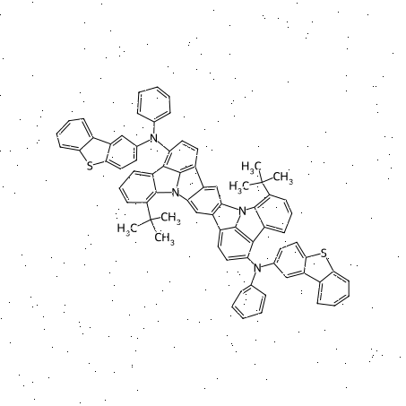 CC(C)(C)c1cccc2c3c(N(c4ccccc4)c4ccc5sc6ccccc6c5c4)ccc4c5cc6c(cc5n(c12)c43)c1ccc(N(c2ccccc2)c2ccc3sc4ccccc4c3c2)c2c3cccc(C(C)(C)C)c3n6c12